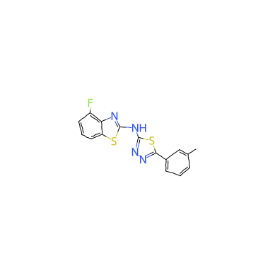 Cc1cccc(-c2nnc(Nc3nc4c(F)cccc4s3)s2)c1